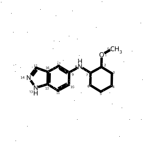 COC1CCCCC1Nc1ccc2[nH]ncc2c1